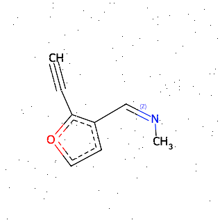 C#Cc1occc1/C=N\C